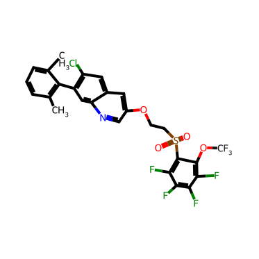 Cc1cccc(C)c1-c1cc2ncc(OCCS(=O)(=O)c3c(F)c(F)c(F)c(F)c3OC(F)(F)F)cc2cc1Cl